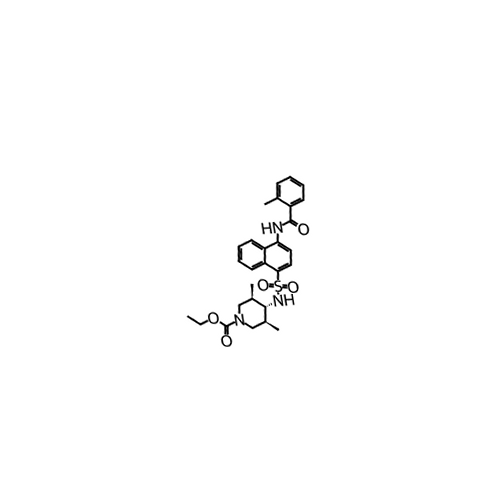 CCOC(=O)N1C[C@@H](C)[C@H](NS(=O)(=O)c2ccc(NC(=O)c3ccccc3C)c3ccccc23)[C@@H](C)C1